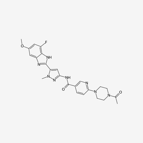 COc1cc(F)c2[nH]c(-c3cc(NC(=O)c4ccc(N5CCN(C(C)=O)CC5)nc4)nn3C)nc2c1